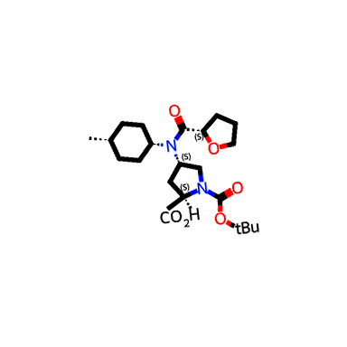 CC(C)(C)OC(=O)N1C[C@@H](N(C(=O)[C@@H]2CCCO2)[C@H]2CC[C@@H](C)CC2)C[C@@]1(C)C(=O)O